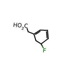 O=C(O)CC1=CC=CC(F)C1